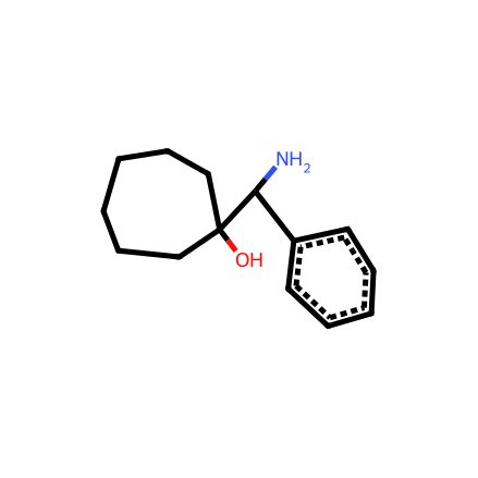 NC(c1ccccc1)C1(O)CCCCCC1